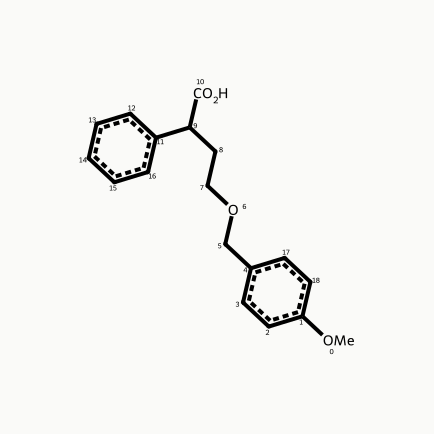 COc1ccc(COCCC(C(=O)O)c2ccccc2)cc1